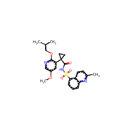 COc1cnc(OCC(C)C)c(C2(C(=O)NS(=O)(=O)c3cccc4nc(C)ccc34)CC2)c1